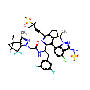 CC(C)(C#Cc1nc([C@@H](Cc2cc(F)cc(F)c2)NC(=O)Cn2nc(C(F)(F)F)c3c2C(F)(F)[C@@H]2C[C@H]32)c(-c2ccc(Cl)c3c(NS(C)(=O)=O)nn(CC(F)(F)F)c23)c2c1CCC2)S(C)(=O)=O